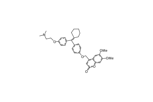 COc1cc2oc(=O)cc(COc3ccc(C(=C4CCCCC4)c4ccc(OCCN(C)C)cc4)cc3)c2cc1OC